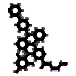 C=N/C=C\C=C(/C)c1ccc2c(c1)B(c1c(C)cc(C)cc1C)c1cccc3c1N2c1ccccc1N3c1ccc(-c2cccnc2)cc1